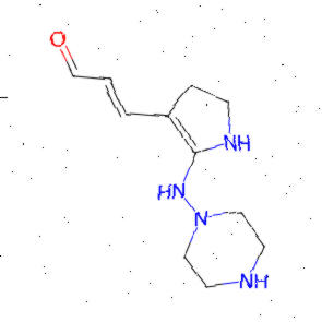 O=C/C=C/C1=C(NN2CCNCC2)NCC1